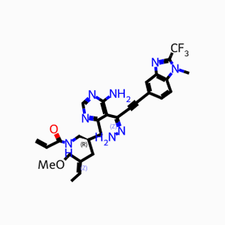 C=CC(=O)NC[C@H](C/C(=C/C)COC)Cc1ncnc(N)c1/C(C#Cc1ccc2c(c1)nc(C(F)(F)F)n2C)=N\N